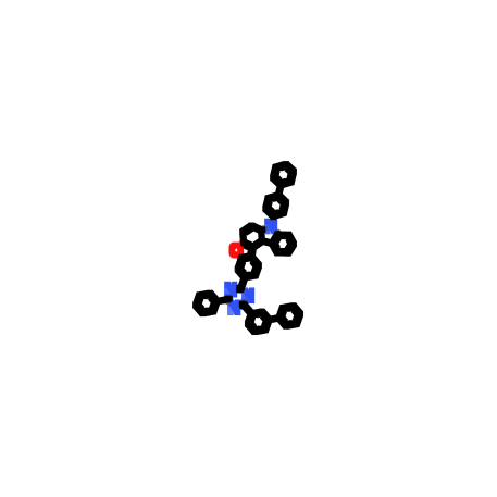 C1=CC2C(c3ccccc3N2c2ccc(-c3ccccc3)cc2)c2c1oc1cc(-c3nc(-c4ccccc4)nc(-c4cccc(-c5ccccc5)c4)n3)ccc21